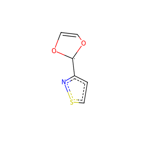 C1=CO[C](c2ccsn2)O1